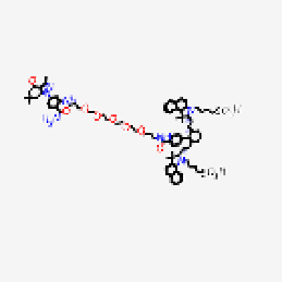 Cc1nn(-c2ccc(C(N)=O)c(NCCCOCCOCCOCCOCCOCCCNC(=O)c3ccc(C4=C(/C=C/C5N(CCCCS(=O)(=O)O)c6c(ccc7ccccc67)C5(C)C)CCC/C4=C\C=C4\N(CCCCS(=O)(=O)O)c5ccc6ccccc6c5C4(C)C)cc3)c2)c2c1C(=O)CC(C)(C)C2